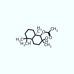 CC(=O)O[C@@H]1[C@]2(C)CCCC(C)(C)[C@@H]2CC[C@@]1(C)O